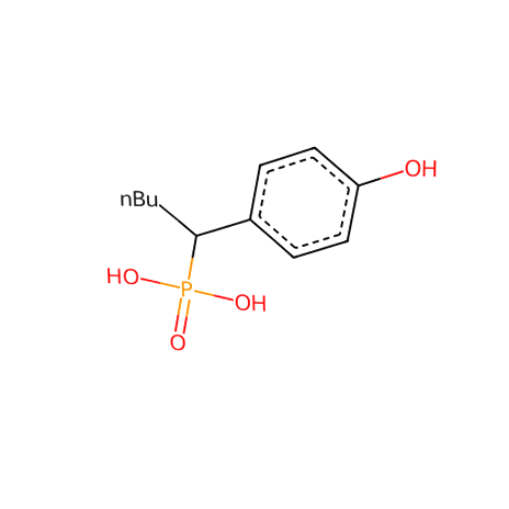 CCCCC(c1ccc(O)cc1)P(=O)(O)O